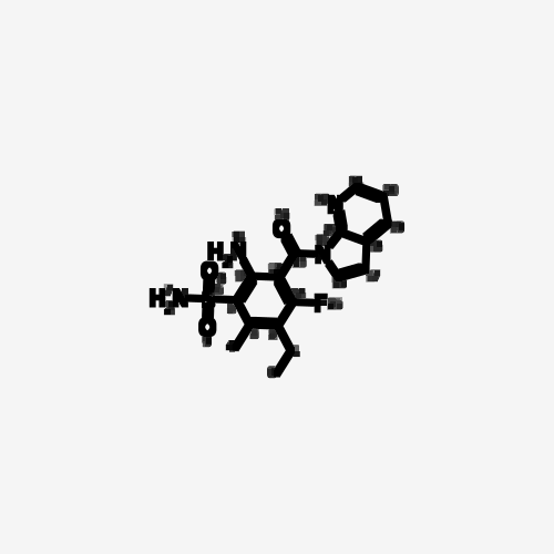 CCc1c(C)c(S(N)(=O)=O)c(N)c(C(=O)n2ccc3cccnc32)c1F